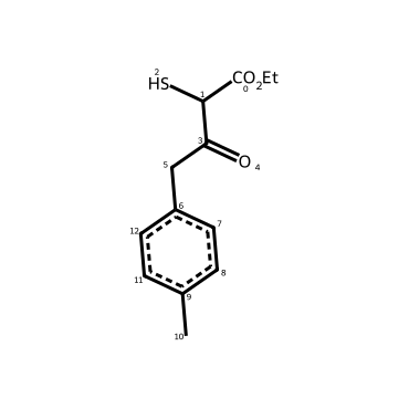 CCOC(=O)C(S)C(=O)Cc1ccc(C)cc1